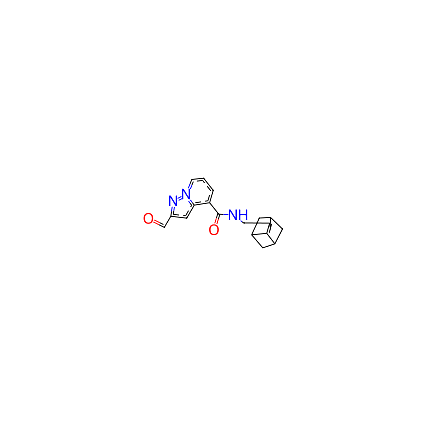 O=Cc1cc2c(C(=O)NCC3=C4C5CC(C3)CC4C5)cccn2n1